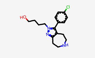 OCCCCn1nc2c(c1-c1ccc(Cl)cc1)CCNCC2